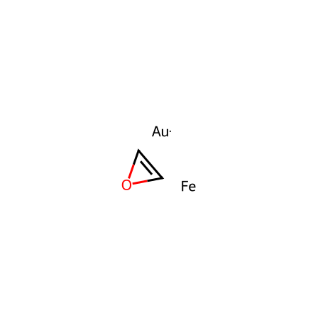 C1=CO1.[Au].[Fe]